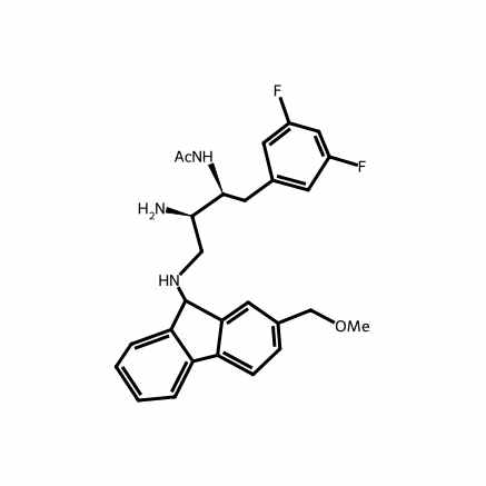 COCc1ccc2c(c1)C(NC[C@@H](N)[C@H](Cc1cc(F)cc(F)c1)NC(C)=O)c1ccccc1-2